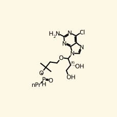 CCC[PH](=O)OC(C)(C)CCOC([C@H](O)CO)n1cnc2c(Cl)nc(N)nc21